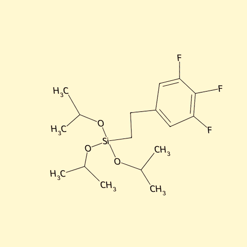 CC(C)O[Si](CCc1cc(F)c(F)c(F)c1)(OC(C)C)OC(C)C